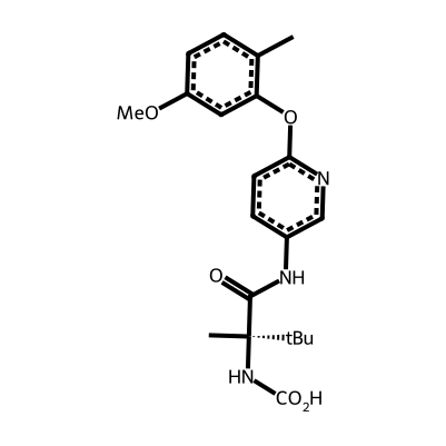 COc1ccc(C)c(Oc2ccc(NC(=O)[C@](C)(NC(=O)O)C(C)(C)C)cn2)c1